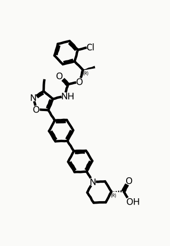 Cc1noc(-c2ccc(-c3ccc(N4CCC[C@@H](C(=O)O)C4)cc3)cc2)c1NC(=O)O[C@H](C)c1ccccc1Cl